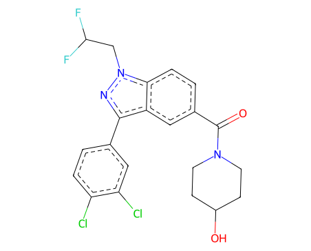 O=C(c1ccc2c(c1)c(-c1ccc(Cl)c(Cl)c1)nn2CC(F)F)N1CCC(O)CC1